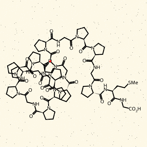 CSCC[C@H](NC(=O)[C@@H]1CCCN1C(=O)CNC(=O)[C@@H]1CCCN1C(=O)[C@@H]1CCCN1C(=O)CNC(=O)[C@@H]1CCCN1C(=O)[C@@H]1CCCN1C(=O)CNC(=O)[C@@H]1CCCN1C(=O)[C@@H]1CCCN1C(=O)CNC(=O)[C@@H]1CCCN1C(=O)[C@@H]1CCCN1C(=O)CNC(=O)[C@@H]1CCCN1C(=O)[C@@H]1CCCN1C(=O)CNC(=O)[C@@H]1CCCN1C(=O)[C@@H]1CCCN1)C(=O)NCC(=O)O